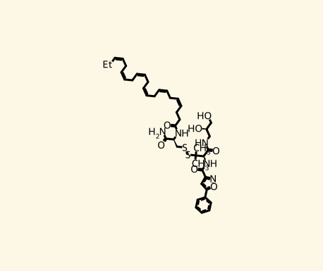 CC/C=C\C/C=C\C/C=C\C/C=C\C/C=C\C/C=C\CCC(=O)N[C@@H](CSSC(C)(C)[C@H](NC(=O)c1cc(-c2ccccc2)on1)C(=O)NC[C@@H](O)CO)C(N)=O